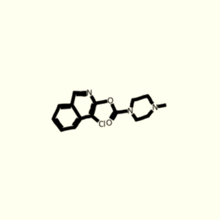 CN1CCN(C(=O)Oc2ncc3ccccc3c2Cl)CC1